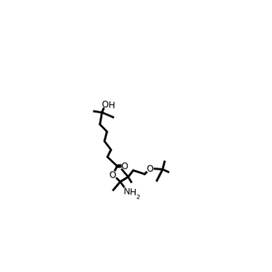 CC(C)(O)CCCCCC(=O)OC(C)(N)C(C)(C)CCOC(C)(C)C